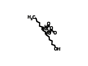 CCCCCCCCCCCCCCO.O=[PH](O)O[PH](=O)O